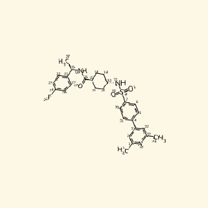 Cc1cc(-c2ccc(S(=O)(=O)N[C@H]3CC[C@H](C(=O)N[C@H](C)c4ccc(F)cc4)CC3)cc2)cc(C)n1